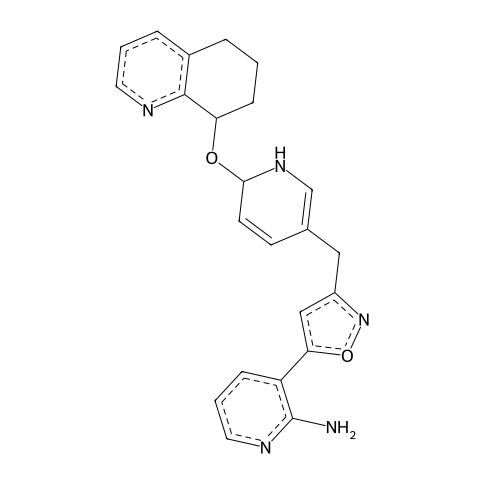 Nc1ncccc1-c1cc(CC2=CNC(OC3CCCc4cccnc43)C=C2)no1